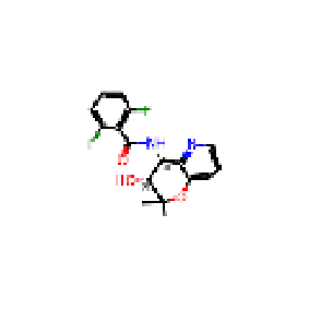 CC1(C)Oc2cccnc2[C@@H](NC(=O)c2c(F)cccc2F)[C@@H]1O